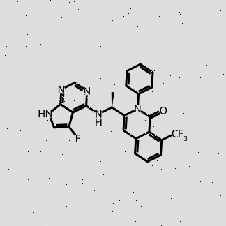 C[C@H](Nc1ncnc2[nH]cc(F)c12)c1cc2cccc(C(F)(F)F)c2c(=O)n1-c1ccccc1